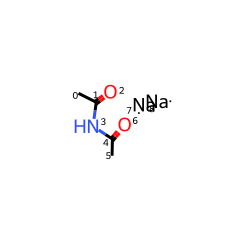 CC(=O)NC(C)=O.[Na].[Na]